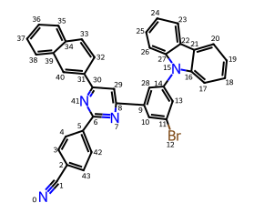 N#Cc1ccc(-c2nc(-c3cc(Br)cc(-n4c5ccccc5c5ccccc54)c3)cc(-c3ccc4ccccc4c3)n2)cc1